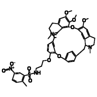 COc1cc2c3cc1Oc1c(OC)c(OC)cc4c1C(Cc1ccc(OCCCNS(=O)(=O)c5cc([N+](=O)[O-])ccc5C)c(c1)Oc1ccc(cc1)CC3N(C)CC2)N(C)CC4